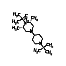 C[C@@H]1CN(C2CCN(C(C)(C)C)CC2)C[C@H](C)N1C(C)(C)C